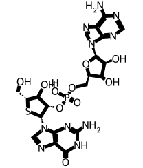 Nc1nc2c(ncn2[C@@H]2S[C@H](CO)C(O)[C@@H]2OP(=O)(O)OC[C@H]2O[C@@H](n3cnc4c(N)ncnc43)[C@@H](O)C2O)c(=O)[nH]1